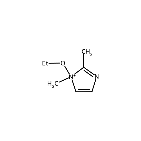 CCO[N+]1(C)C=CN=C1C